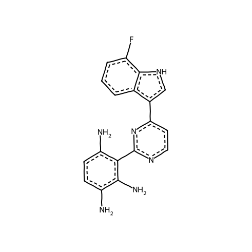 Nc1ccc(N)c(-c2nccc(-c3c[nH]c4c(F)cccc34)n2)c1N